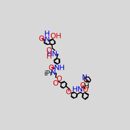 CC(C)N(CCOC(=O)c1ccc(COc2cccc(C(NC(=O)O[C@H]3CN4CCC3CC4)c3ccccc3)c2)cc1)C(=O)Nc1ccc(CNC[C@@H](O)c2ccc(O)c3[nH]c(=O)ccc23)cc1